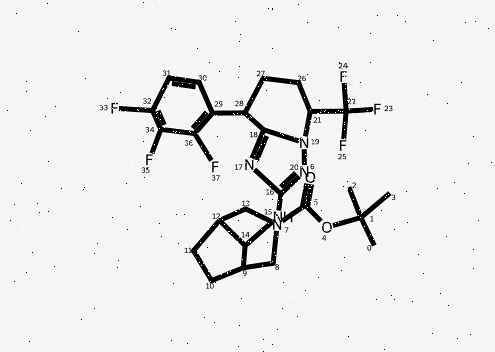 CC(C)(C)OC(=O)N1CC2CCC(C1)C2Nc1nc2n(n1)C(C(F)(F)F)CCC2c1ccc(F)c(F)c1F